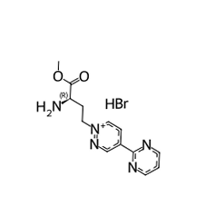 Br.COC(=O)[C@H](N)CC[n+]1ccc(-c2ncccn2)cn1